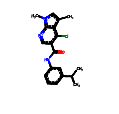 Cc1cn(C)c2ncc(C(=O)Nc3cccc(C(C)C)c3)c(Cl)c12